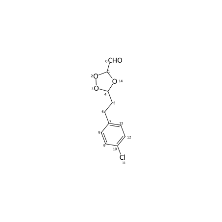 O=CC1OOC(CCc2ccc(Cl)cc2)O1